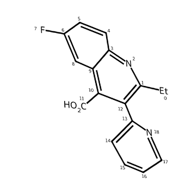 CCc1nc2ccc(F)cc2c(C(=O)O)c1-c1ccccn1